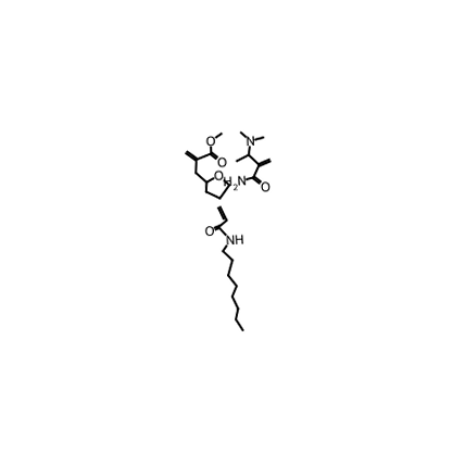 C=C(C(N)=O)C(C)N(C)C.C=C(CC1CCCO1)C(=O)OC.C=CC(=O)NCCCCCCCC